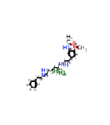 COc1ccc(CCNCCCCCCNCCc2ccccc2)cc1NC(C)=O.Cl.Cl